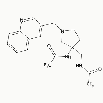 O=C(NCC1(NC(=O)C(F)(F)F)CCN(Cc2cnc3ccccc3c2)C1)C(F)(F)F